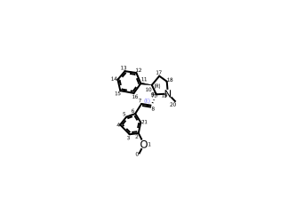 COc1cccc(/C=C/[C@@H]2[C@@H](c3ccccc3)CCN2C)c1